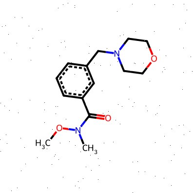 CON(C)C(=O)c1cccc(CN2CCOCC2)c1